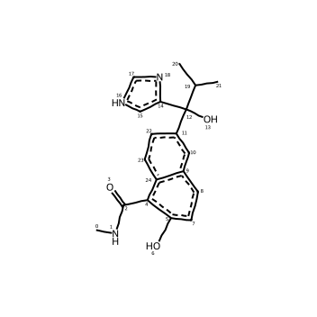 CNC(=O)c1c(O)ccc2cc(C(O)(c3c[nH]cn3)C(C)C)ccc12